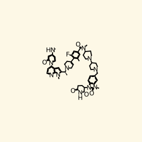 CNc1ccn(-c2ccnc3c2cc([C@H](C)N2CC=C(c4c(C)cc(C(=O)N(C)C5CCN(C6CCN(Cc7ccc8c(c7)n(C)c(=O)n8C7CCC(=O)NC7=O)CC6)CC5)cc4F)CC2)n3C)c(=O)c1